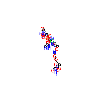 O=C1CCC(N2C(=O)c3cccc(C#CCOCCOCCN4CC(COc5cccc(-c6ccc(Cl)cc6)c5CN5CCN(c6ccc(C(=O)NS(=O)(=O)c7ccc(NCC8CCOCC8)c([N+](=O)O)c7)c(Oc7cnc8[nH]ccc8c7)c6)CC5)C4)c3C2=O)C(=O)N1